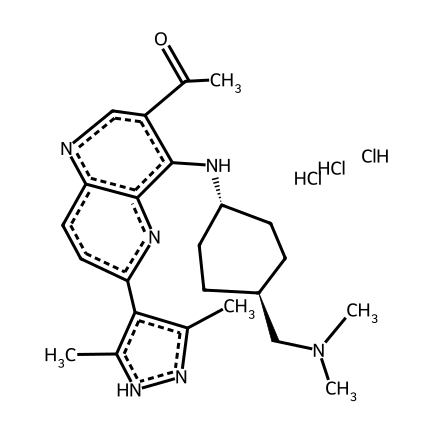 CC(=O)c1cnc2ccc(-c3c(C)n[nH]c3C)nc2c1N[C@H]1CC[C@H](CN(C)C)CC1.Cl.Cl.Cl